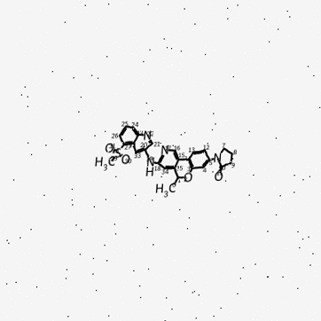 CC1Oc2cc(N3CCCC3=O)ccc2-c2cnc(Nc3cnc4cccc(S(C)(=O)=O)c4c3)cc21